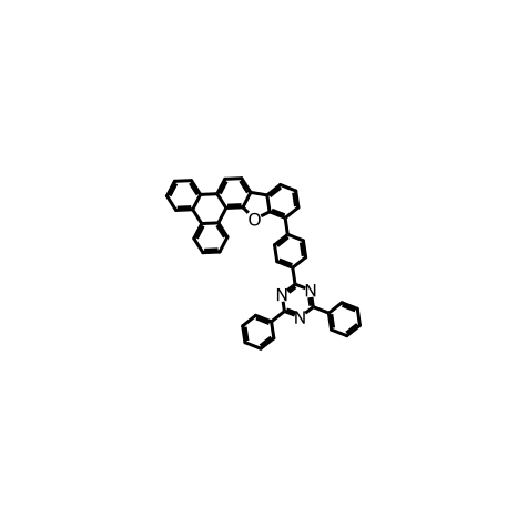 c1ccc(-c2nc(-c3ccccc3)nc(-c3ccc(-c4cccc5c4oc4c5ccc5c6ccccc6c6ccccc6c54)cc3)n2)cc1